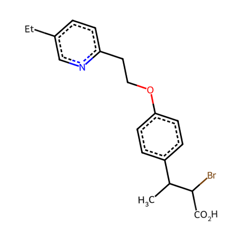 CCc1ccc(CCOc2ccc(C(C)C(Br)C(=O)O)cc2)nc1